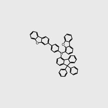 c1ccc(C2(c3ccccc3)c3ccccc3-c3c(N(c4ccc(-c5ccc6c(c5)oc5ccccc56)cc4)c4cccc5c4oc4ccccc45)cccc32)cc1